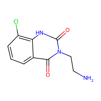 NCCn1c(=O)[nH]c2c(Cl)cccc2c1=O